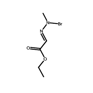 CCOC(=O)C=NN(C)Br